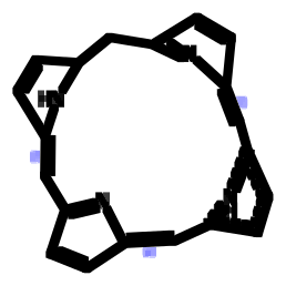 C1=C/C2=C/c3ccc([nH]3)/C=C3/C=CC(=N3)CC3C=C/C(=C/C1=N2)N3